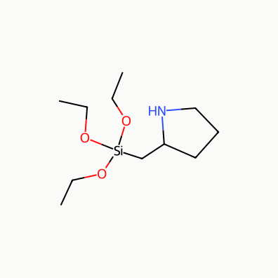 CCO[Si](CC1CCCN1)(OCC)OCC